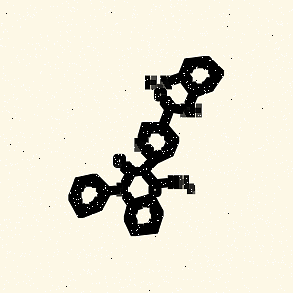 NC(=O)C(C(=O)N(c1ccccc1)c1ccccc1)c1ccc(C(=O)Nc2ccccc2N)cn1